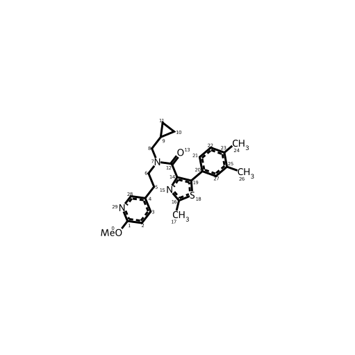 COc1ccc(CCN(CC2CC2)C(=O)c2nc(C)sc2-c2ccc(C)c(C)c2)cn1